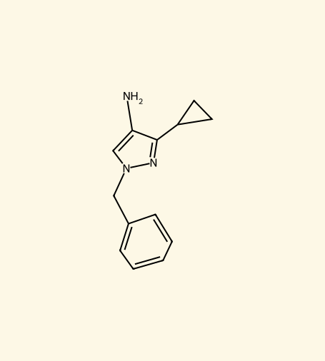 Nc1cn(Cc2ccccc2)nc1C1CC1